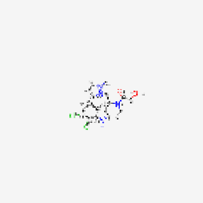 COCC(=O)N1CCc2[nH]c3c(Cl)c(Cl)cc(-c4ccn(C)n4)c3c2[C@H]1C